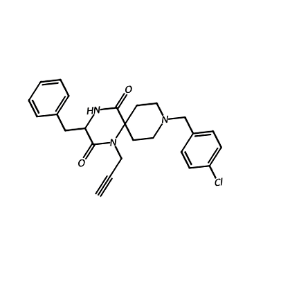 C#CCN1C(=O)C(Cc2ccccc2)NC(=O)C12CCN(Cc1ccc(Cl)cc1)CC2